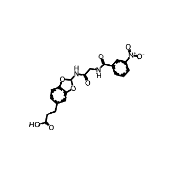 O=C(O)CCc1ccc2c(c1)OC(NC(=O)CNC(=O)c1cccc([N+](=O)[O-])c1)O2